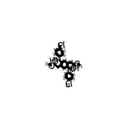 COC(=O)CC1=C(Nc2ccc(Cl)cc2)CC(CC(=O)OC)=C(Nc2ccc(Cl)cc2)C1